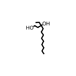 CCCCCCCCCC(O)(CC)CCO